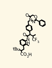 Cc1c(CC(C(=O)O)C(C)(C)C)cccc1NC(=O)C(c1ccc(CN2N=C(c3ccccc3)OCC2=O)cc1)C(C)C(F)(F)F